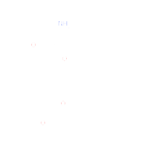 COCOC(c1cccc(C)c1)C(C)OC(N)=O